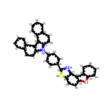 c1ccc2c(c1)ccc1c2c2c3ccccc3ccc2n1-c1ccc(-c2nc3c(ccc4oc5ccccc5c43)s2)cc1